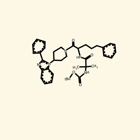 CC(C)(C)OC(=O)NC(C)(C)C(=O)NC(CCCc1ccccc1)C(=O)N1CCC(n2c(-c3ccccc3)nc3ccccc32)CC1